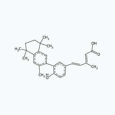 CC(C=Cc1ccc(O)c(-c2cc3c(cc2C)C(C)(C)CCC3(C)C)c1)=CC(=O)O